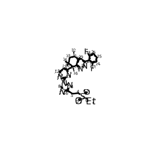 CCS(=O)(=O)CCc1ncn(-c2nccc([C@@]3(C)c4nnc(-c5c(F)cccc5F)cc4[C@H](C)CC3(C)C)n2)n1